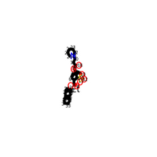 CCC1(OC(=O)C2C3CC4C(OS(=O)(=O)C42)C3OC(=O)CCN2CCCCC2)CC2CC1C1C3CCC(C3)C21